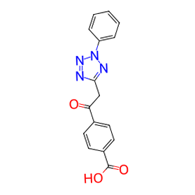 O=C(O)c1ccc(C(=O)Cc2nnn(-c3ccccc3)n2)cc1